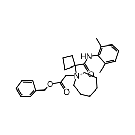 Cc1cccc(C)c1NC(=O)C1([N+]2(CC(=O)OCc3ccccc3)CCCCCC2)CCC1